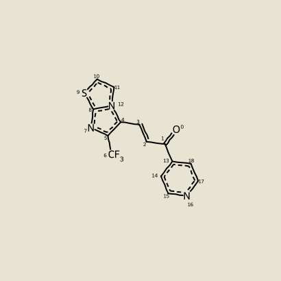 O=C(C=Cc1c(C(F)(F)F)nc2sccn12)c1ccncc1